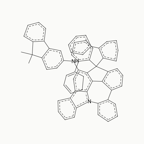 CC1(C)c2ccccc2-c2cc(Nc3cc4c5ccccc5n5c4c4c3C(c3ccccc3C3=CC=CCC3)(c3ccccc3-c3ccccc3)c3cccc(c3-4)-c3ccccc3-5)ccc21